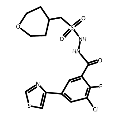 O=C(NNS(=O)(=O)CC1CCOCC1)c1cc(-c2cscn2)cc(Cl)c1F